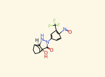 O=Nc1ccc(N2N[C@@H]3C4CCC(CC4)[C@]3(O)C2=O)cc1C(F)(F)F